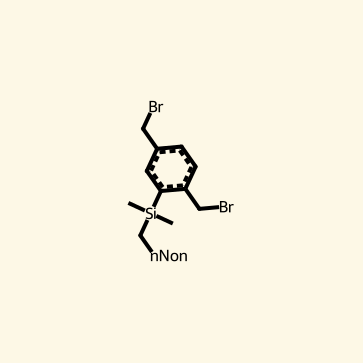 CCCCCCCCCC[Si](C)(C)c1cc(CBr)ccc1CBr